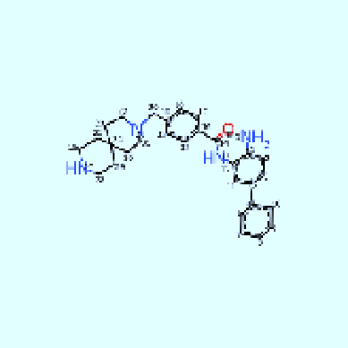 Nc1ccc(-c2ccccc2)cc1NC(=O)c1ccc(CN2CCC3(CCNCC3)CC2)cc1